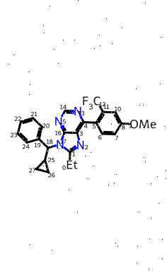 CCc1nc2c(-c3ccc(OC)cc3C(F)(F)F)ncnc2n1C(c1ccccc1)C1CC1